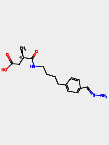 C[C@H](CC(=O)O)C(=O)NCCCCc1ccc(C=NN)cc1